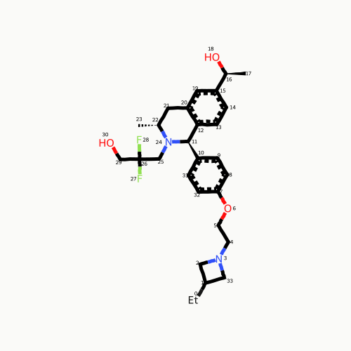 CCC1CN(CCOc2ccc([C@@H]3c4ccc([C@H](C)O)cc4C[C@@H](C)N3CC(F)(F)CO)cc2)C1